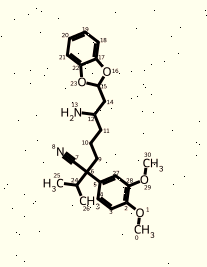 COc1ccc(C(C#N)(CCCC(N)CC2Oc3ccccc3O2)C(C)C)cc1OC